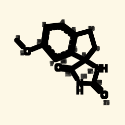 COc1ccc2c(c1)C1(CC2)NC(=O)NC1=O